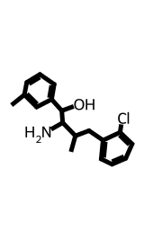 Cc1cccc(C(O)C(N)C(C)Cc2ccccc2Cl)c1